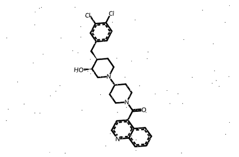 O=C(c1ccnc2ccccc12)N1CCC(N2CC[C@H](Cc3ccc(Cl)c(Cl)c3)[C@H](O)C2)CC1